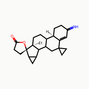 CC[C@]12CCC3C(CC4(CC4)C4=CC(=N)CC[C@@H]43)C1C1CC1[C@@]21CCC(=O)O1